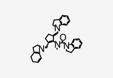 CN(C(=O)N1CCc2ccccc21)C1=C(/C=[N+]2\CCC3=C2C=CCC3)CC/C1=C\N1CCc2ccccc21